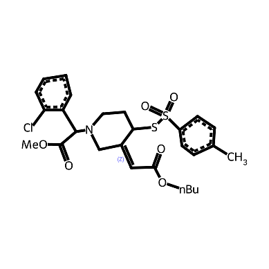 CCCCOC(=O)/C=C1/CN(C(C(=O)OC)c2ccccc2Cl)CCC1SS(=O)(=O)c1ccc(C)cc1